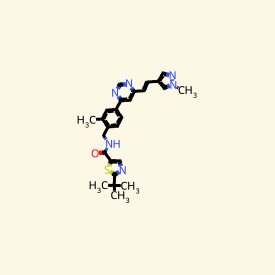 Cc1cc(-c2cc(/C=C/c3cnn(C)c3)ncn2)ccc1CNC(=O)c1cnc(C(C)(C)C)s1